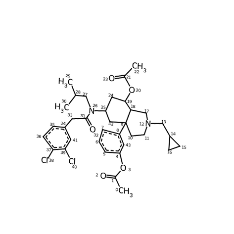 CC(=O)Oc1cccc(C23CCN(CC4CC4)CC2C(OC(C)=O)CC(N(CC(C)C)C(=O)Cc2ccc(Cl)c(Cl)c2)C3)c1